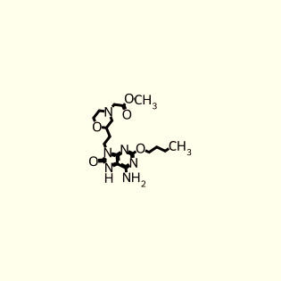 CCCCOc1nc(N)c2[nH]c(=O)n(CCC3CN(CC(=O)OC)CCO3)c2n1